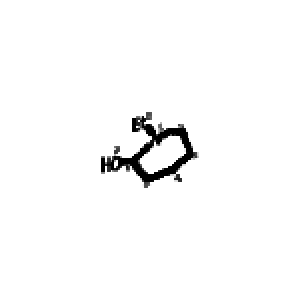 CCN1CCCC[C]1O